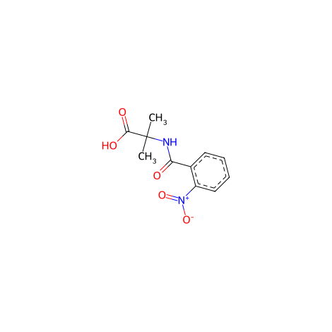 CC(C)(NC(=O)c1ccccc1[N+](=O)[O-])C(=O)O